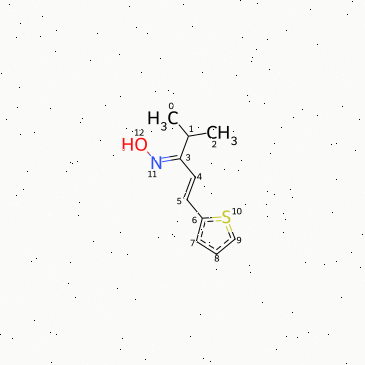 CC(C)C(C=Cc1cccs1)=NO